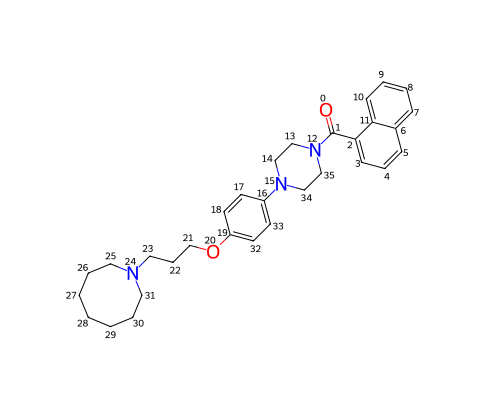 O=C(c1cccc2ccccc12)N1CCN(c2ccc(OCCCN3CCCCCCC3)cc2)CC1